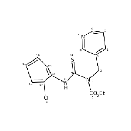 CCOC(=O)N(Cc1cccnc1)C(=S)Nc1ccccc1Cl